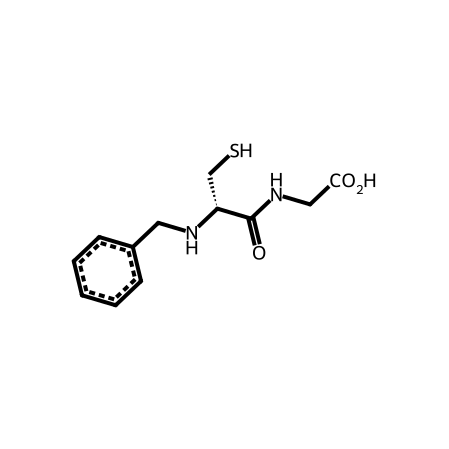 O=C(O)CNC(=O)[C@@H](CS)NCc1ccccc1